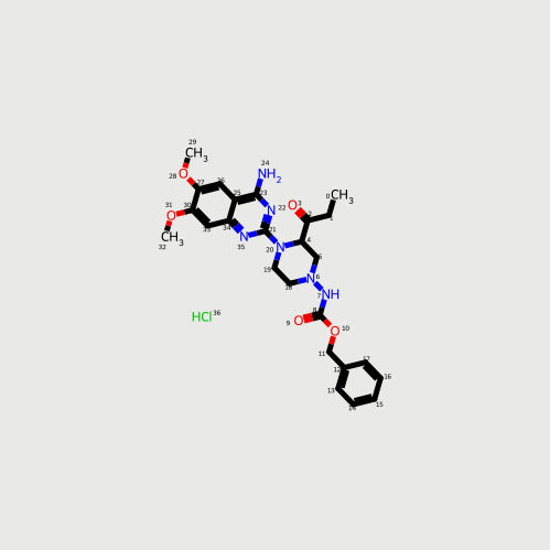 CCC(=O)C1CN(NC(=O)OCc2ccccc2)CCN1c1nc(N)c2cc(OC)c(OC)cc2n1.Cl